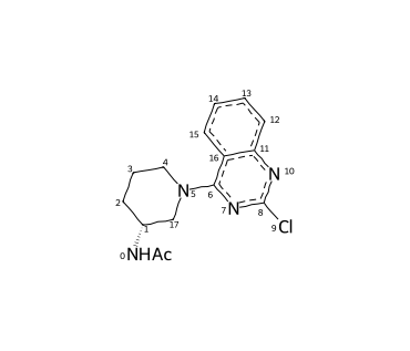 CC(=O)N[C@@H]1CCCN(c2nc(Cl)nc3ccccc23)C1